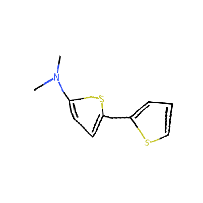 CN(C)c1ccc(-c2cccs2)s1